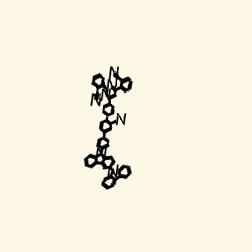 N#Cc1cc(-c2ccc(-n3c4ccccc4c4cc(-n5c6ccccc6c6ccccc65)ccc43)cc2)ccc1-c1ccc(-c2cc(-c3ccccc3C#N)nc(-c3ccccc3C#N)n2)cc1